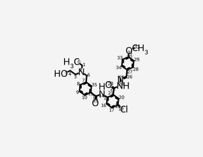 CCN(CCO)Cc1cccc(C(=O)Nc2ccc(Cl)cc2C(=O)N/N=C/c2ccc(OC)cc2)c1